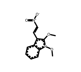 COc1c(/C=C/[N+](=O)[O-])c2ccccc2n1OC